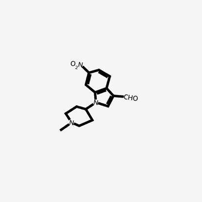 CN1CCC(n2cc(C=O)c3ccc([N+](=O)[O-])cc32)CC1